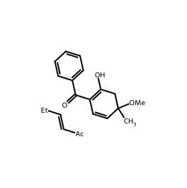 CCC=CC(C)=O.COC1(C)C=CC(C(=O)c2ccccc2)=C(O)C1